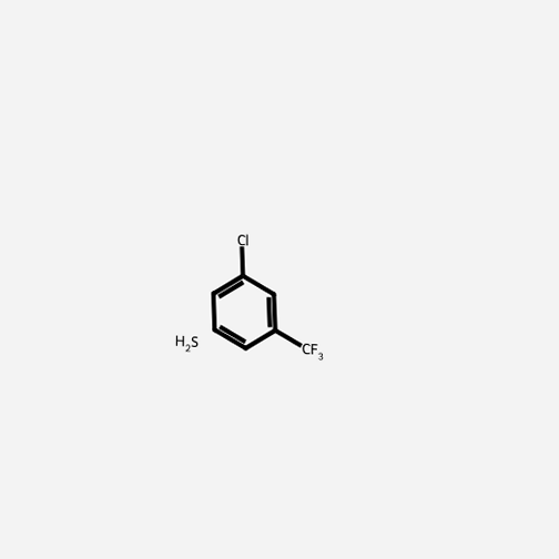 FC(F)(F)c1cccc(Cl)c1.S